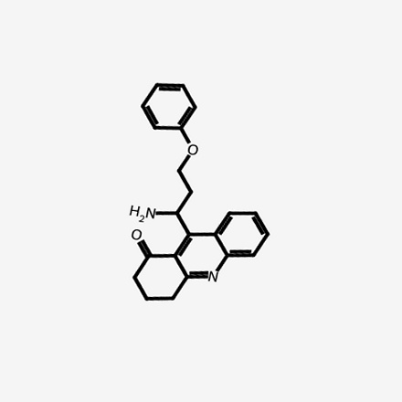 NC(CCOc1ccccc1)c1c2c(nc3ccccc13)CCCC2=O